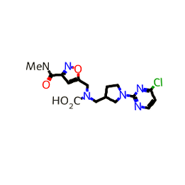 CNC(=O)c1cc(CN(CC2CCN(c3nccc(Cl)n3)C2)C(=O)O)on1